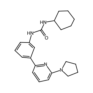 O=C(Nc1cccc(-c2cccc(N3CCCC3)n2)c1)NC1CCCCC1